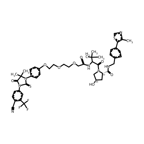 Cc1ncsc1-c1ccc(CNC(=O)[C@@H]2C[C@@H](O)CN2C(=O)C(NC(=O)COCCOCCOc2ccc(N3C(=S)N(c4ccc(C#N)c(C(F)(F)F)c4)C(=O)C3(C)C)cc2)C(C)(C)C)cc1